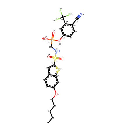 CCCCCOc1ccc2cc(S(=O)(=O)NCP(=O)(O)Oc3ccc(C#N)c(C(F)(F)F)c3)sc2c1